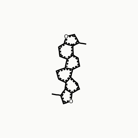 Cc1coc2ccc3c4ccc5c(ccc6occ(C)c65)c4ccc3c12